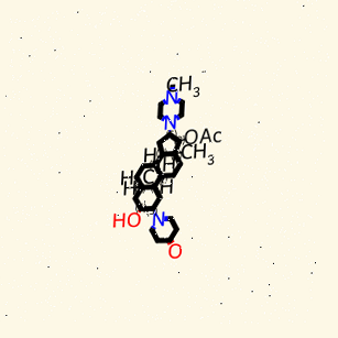 CC(=O)O[C@H]1[C@@H](N2CCN(C)CC2)C[C@H]2[C@@H]3CC[C@H]4C[C@H](O)[C@@H](N5CCC(=O)CC5)C[C@]4(C)[C@H]3CC[C@@]21C